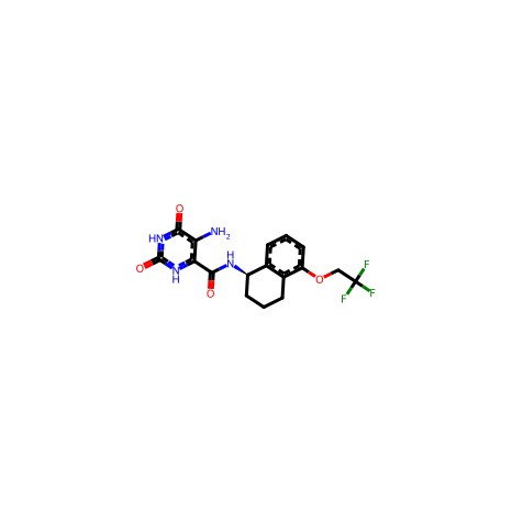 Nc1c(C(=O)N[C@@H]2CCCc3c(OCC(F)(F)F)cccc32)[nH]c(=O)[nH]c1=O